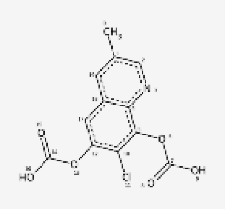 Cc1cnc2c(OC(=O)O)c(Cl)c(OC(=O)O)cc2c1